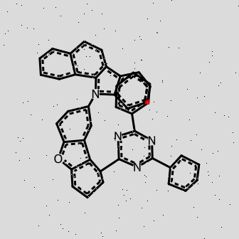 c1ccc(-c2nc(-c3ccccc3)nc(-c3cccc4oc5ccc(-n6c7ccccc7c7ccc8ccccc8c76)cc5c34)n2)cc1